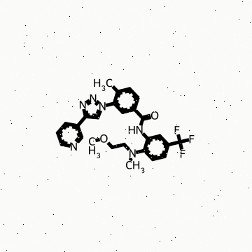 COCCN(C)c1ccc(C(F)(F)F)cc1NC(=O)c1ccc(C)c(-n2cc(-c3cccnc3)nn2)c1